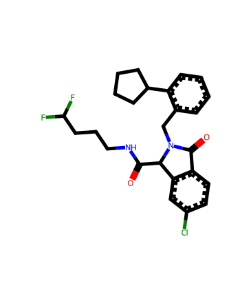 O=C(NCCCC(F)F)C1c2cc(Cl)ccc2C(=O)N1Cc1ccccc1C1CCCC1